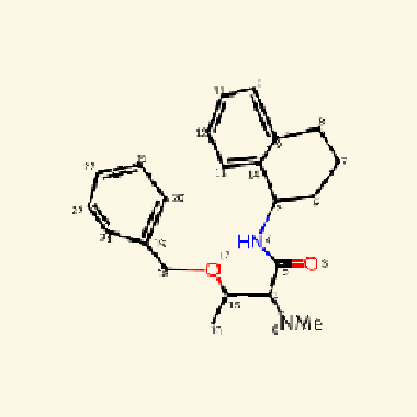 CNC(C(=O)NC1CCCc2ccccc21)C(C)OCc1ccccc1